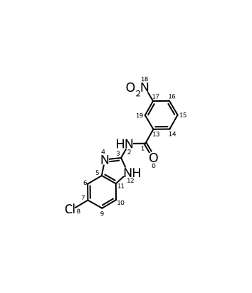 O=C(Nc1nc2cc(Cl)ccc2[nH]1)c1cccc([N+](=O)[O-])c1